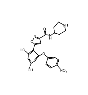 O=C(NC1CCNCC1)c1cc(-c2c(O)cc(O)cc2Oc2ccc([N+](=O)[O-])cc2)on1